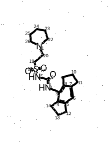 O=C(Nc1c2c(cc3c1CCC3)CCC2)NS(=O)(=O)CCN1CCCCC1